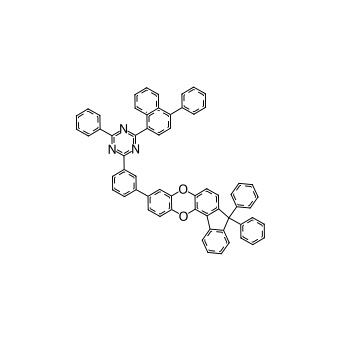 c1ccc(-c2nc(-c3cccc(-c4ccc5c(c4)Oc4ccc6c(c4O5)-c4ccccc4C6(c4ccccc4)c4ccccc4)c3)nc(-c3ccc(-c4ccccc4)c4ccccc34)n2)cc1